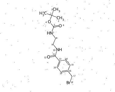 CC(C)(C)OC(=O)NCCNC(=O)c1ccc(CBr)cc1